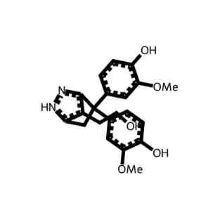 COc1cc(C2(c3ccc(O)c(OC)c3)Cc3[nH]nc2c3CCO)ccc1O